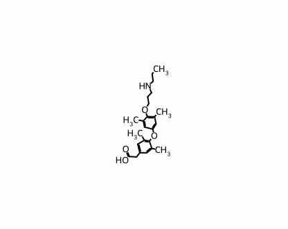 CCCNCCCOc1c(C)cc(Oc2c(C)cc(CC(=O)O)cc2C)cc1C